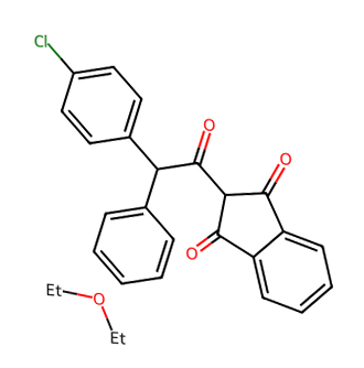 CCOCC.O=C1c2ccccc2C(=O)C1C(=O)C(c1ccccc1)c1ccc(Cl)cc1